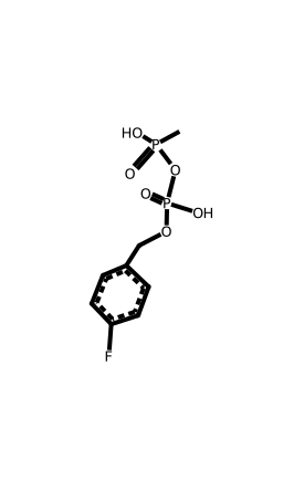 CP(=O)(O)OP(=O)(O)OCc1ccc(F)cc1